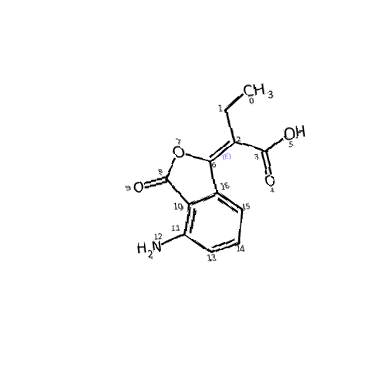 CC/C(C(=O)O)=C1\OC(=O)c2c(N)cccc21